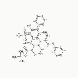 CC(C)(C)OC(=O)C1CNCCC1C(=O)c1c(CC(=O)OCc2ccccc2)c(N)c(-c2ccccc2)c(Cl)c1S(N)(=O)=O